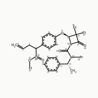 C=CCC(c1ccc(O[C@@H]2N(C(=O)N(CCC)[C@H](C)c3ccccc3)C(=O)C2(CC)CC)cc1)[PH](=O)OCC